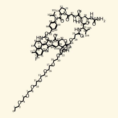 CCCOCCOCCOCCOCCOCCOCCOCCOCCOCCC(=O)NC(C(=O)N[C@H](CCNC(N)=O)C(=O)NCC(=O)N1CCC[C@@H]1C(=O)N(c1ccc(COC(=O)N[C@H]2CCc3c(C)c(F)cc4nc5c(c2c34)Cn2c-5cc3c(c2=O)COC(=O)[C@]3(O)CC)cc1)C(C)C)C(C)C